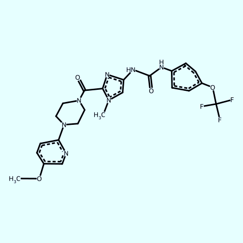 COc1ccc(N2CCN(C(=O)c3nc(NC(=O)Nc4ccc(OC(F)(F)F)cc4)cn3C)CC2)nc1